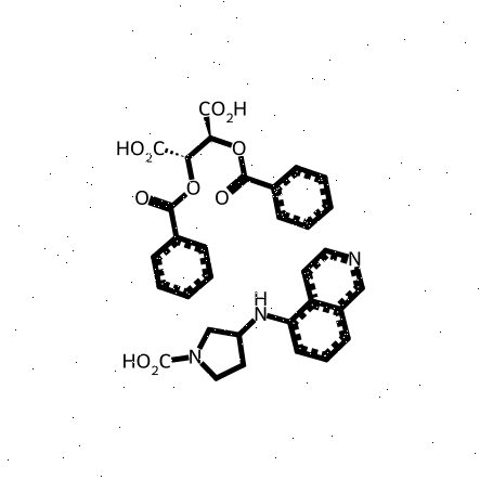 O=C(O)N1CCC(Nc2cccc3cnccc23)C1.O=C(O[C@H](C(=O)O)[C@H](OC(=O)c1ccccc1)C(=O)O)c1ccccc1